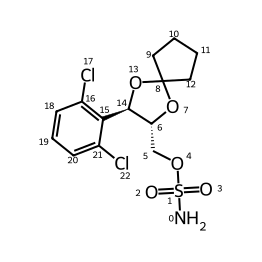 NS(=O)(=O)OC[C@H]1OC2(CCCC2)O[C@@H]1c1c(Cl)cccc1Cl